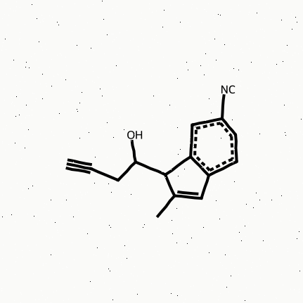 [C-]#[N+]c1ccc2c(c1)C(C(O)CC#C)C(C)=C2